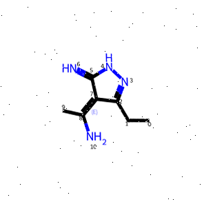 CCC1=NNC(=N)/C1=C(\C)N